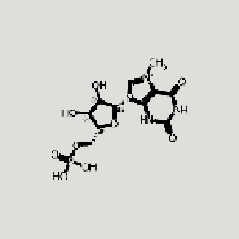 C[n+]1cn([C@@H]2O[C@H](COP(=O)(O)O)[C@@H](O)[C@H]2O)c2[nH]c(=O)[nH]c(=O)c21